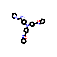 N/C(=C\N1C=CC=CC1)c1ccc(N(c2ccc(-c3nc4ccccc4o3)cc2)c2ccc(-c3nc4ccccc4o3)cc2)cc1